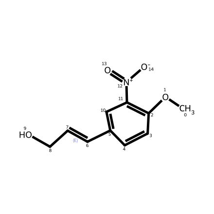 COc1ccc(/C=C/CO)cc1[N+](=O)[O-]